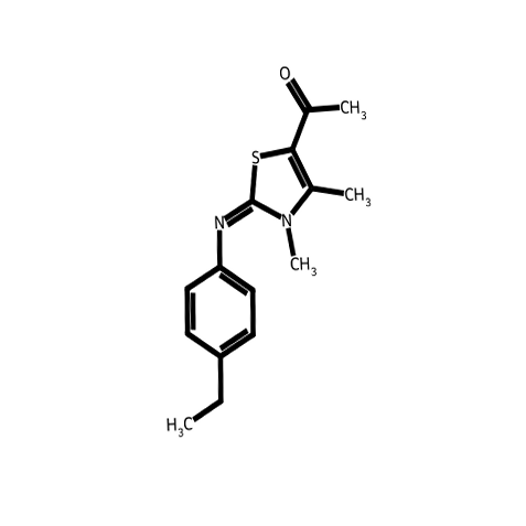 CCc1ccc(N=c2sc(C(C)=O)c(C)n2C)cc1